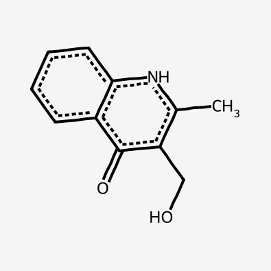 Cc1[nH]c2ccccc2c(=O)c1CO